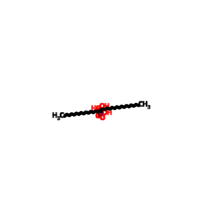 CCCCCCCCCCCCCCCCC(O)C(O)(CCCCCCCCCCCCCCCC)C(O)P(=O)=O